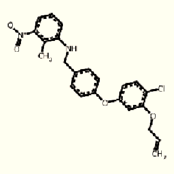 C=CCOc1cc(Oc2ccc(CNc3cccc([N+](=O)[O-])c3C)cc2)ccc1Cl